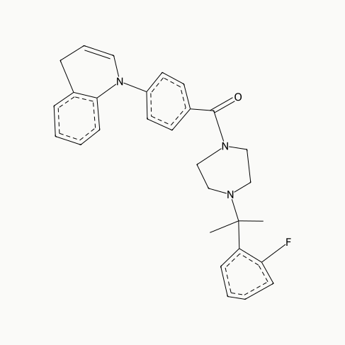 CC(C)(c1ccccc1F)N1CCN(C(=O)c2ccc(N3C=CCc4ccccc43)cc2)CC1